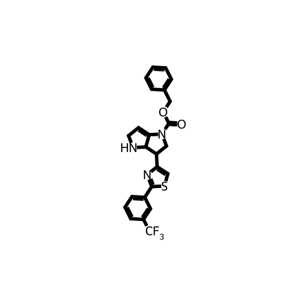 O=C(OCc1ccccc1)N1CC(c2csc(-c3cccc(C(F)(F)F)c3)n2)C2NCC=C21